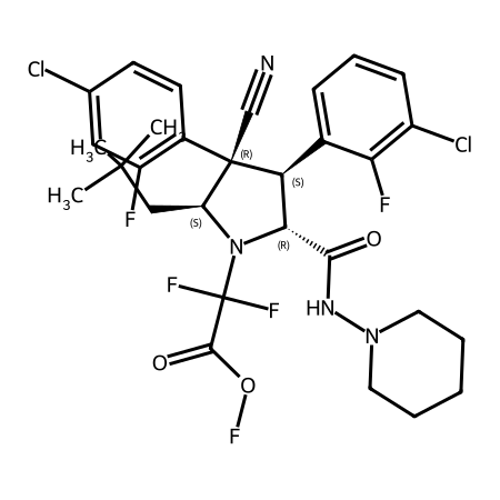 CC(C)(C)C[C@@H]1N(C(F)(F)C(=O)OF)[C@@H](C(=O)NN2CCCCC2)[C@H](c2cccc(Cl)c2F)[C@@]1(C#N)c1ccc(Cl)cc1F